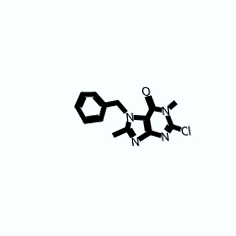 Cc1nc2nc(Cl)n(C)c(=O)c2n1Cc1ccccc1